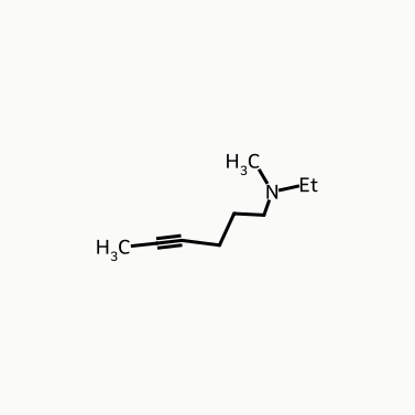 CC#CCCCN(C)CC